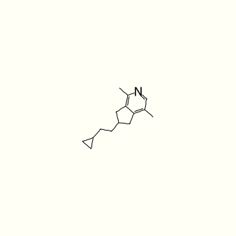 Cc1cnc(C)c2c1CC(CCC1CC1)C2